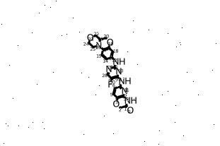 O=C1COc2ccc(Nc3nc(Nc4ccc5c(c4)OCC4COCCN54)ncc3F)nc2N1